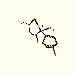 C[C@@H]1CN[C@](C)(c2ccc(F)cc2)C(F)C1